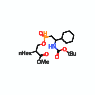 CCCCCCC(CO[PH](=O)CC(NC(=O)OC(C)(C)C)C1CCCCC1)C(=O)OC